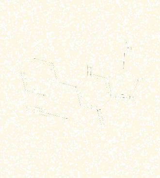 C#CCc1c(-c2ccccc2)[nH]c2c(C#N)cnn2c1=O